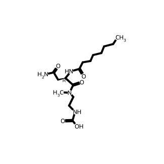 CCCCCCCC(=O)N[C@H](CC(N)=O)C(=O)N(C)CCNC(=O)O